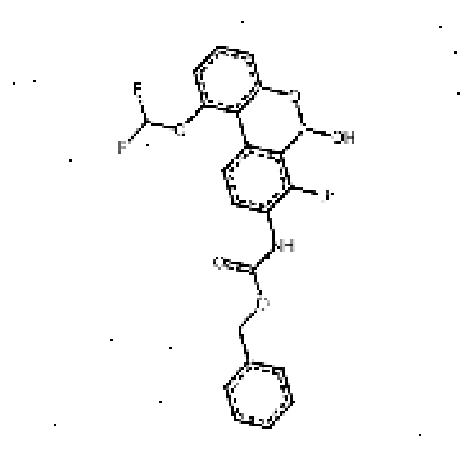 O=C(Nc1ccc2c(c1Br)C(O)Oc1cccc(OC(F)F)c1-2)OCc1ccccc1